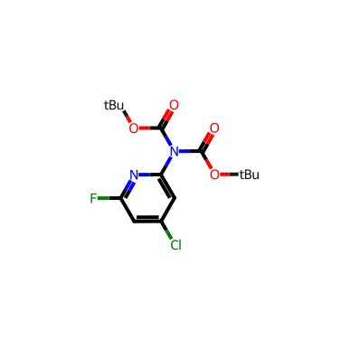 CC(C)(C)OC(=O)N(C(=O)OC(C)(C)C)c1cc(Cl)cc(F)n1